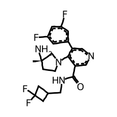 C[C@]1(N)CCN(c2c(C(=O)NCC3CC(F)(F)C3)cncc2-c2cc(F)cc(F)c2)C1